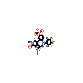 Cn1cc2c3c(c[nH]c3c1=O)CN(c1ccc(F)cc1)c1ccc(S(C)(=O)=O)cc1-2